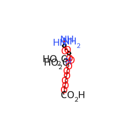 N=C(N)Nc1ccc(C(=O)Oc2ccc(COC(=O)N(CCOCCOCCOCCOCCOCCOCCC(=O)O)C(CC(=O)O)C(=O)O)cc2)cc1